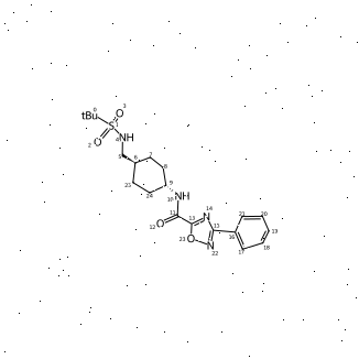 CC(C)(C)S(=O)(=O)NC[C@H]1CC[C@H](NC(=O)c2nc(-c3ccccc3)no2)CC1